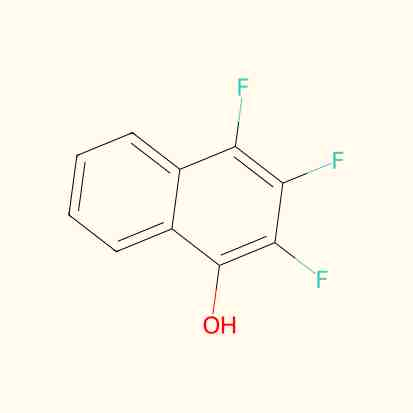 Oc1c(F)c(F)c(F)c2ccccc12